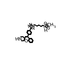 CS(=O)(=O)NCCCCCn1nnc(-c2ccc(C3=CC4(CCNCC4)Oc4ccccc43)cc2)n1